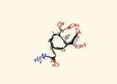 NC(=O)c1ccc(C(=O)O)c(C(=O)O)c1